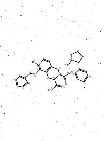 O=C(O)[C@H]1Cc2c(ccc(O)c2OCc2ccccc2)CN1C(=O)[C@H](OC1CCCC1)c1ccccc1